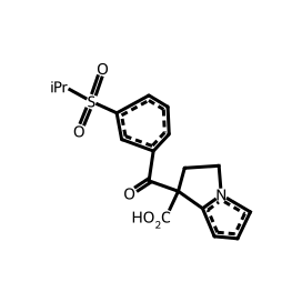 CC(C)S(=O)(=O)c1cccc(C(=O)C2(C(=O)O)CCn3cccc32)c1